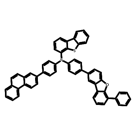 c1ccc(-c2cccc3c2oc2ccc(-c4ccc(N(c5ccc(-c6ccc7c(ccc8ccccc87)c6)cc5)c5cccc6c5sc5ccccc56)cc4)cc23)cc1